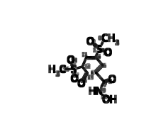 CS(=O)(=O)C(C=CC(=O)NO)=CC(C=O)S(C)(=O)=O